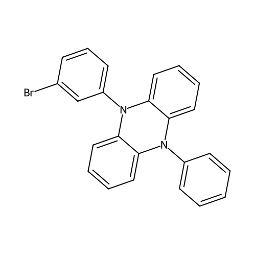 Brc1cccc(N2c3ccccc3N(c3ccccc3)c3ccccc32)c1